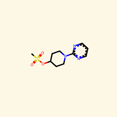 CS(=O)(=O)OC1CCN(c2ncccn2)CC1